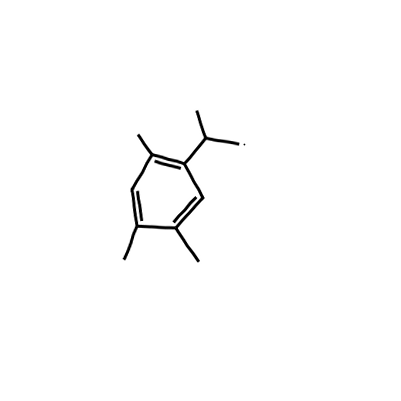 [CH2]C(C)c1cc(C)c(C)cc1C